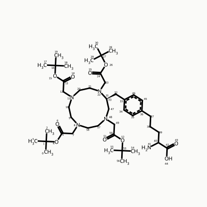 CC(C)(C)OC(=O)CN1CCN(CC(=O)OC(C)(C)C)CCN(CC(=O)OC(C)(C)C)[C@@H](Cc2ccc(CCCC(N)C(=O)O)cc2)CN(CC(=O)OC(C)(C)C)CC1